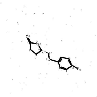 O=C1CC[C@@H](COc2ccc(F)cc2)N1